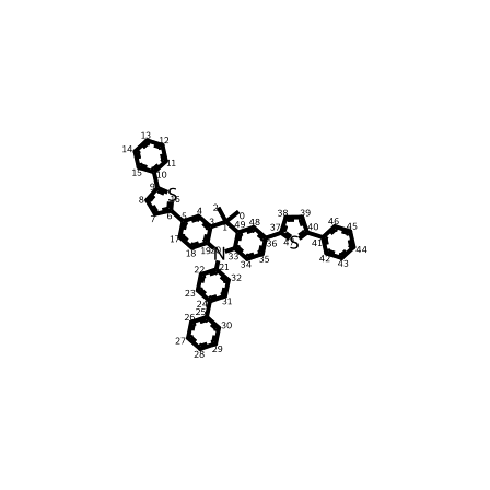 CC1(C)c2cc(-c3ccc(-c4ccccc4)s3)ccc2N(c2ccc(-c3ccccc3)cc2)c2ccc(-c3ccc(-c4ccccc4)s3)cc21